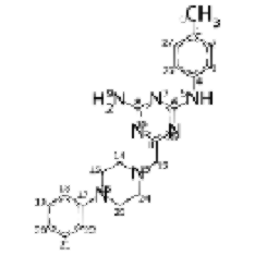 Cc1ccc(Nc2nc(N)nc(CN3CCN(c4ccccc4)CC3)n2)cc1